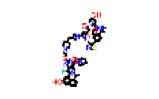 CCc1cccc2cc(O)cc(-c3ncc4c(N5CC6CCC(C5)N6C=O)nc(OCCN5CCC(CC6CN(c7cc([C@H](C(=O)N8C[C@H](O)C[C@H]8C(=O)N[C@@H](C)c8ccc(-c9scnc9C)cc8)C(C)C)on7)C6)CC5)nc4c3F)c12